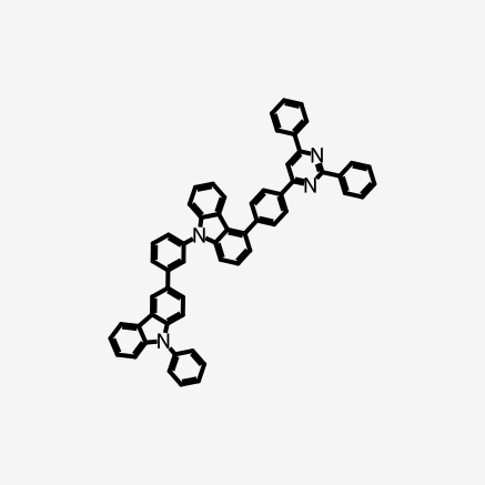 c1ccc(-c2cc(-c3ccc(-c4cccc5c4c4ccccc4n5-c4cccc(-c5ccc6c(c5)c5ccccc5n6-c5ccccc5)c4)cc3)nc(-c3ccccc3)n2)cc1